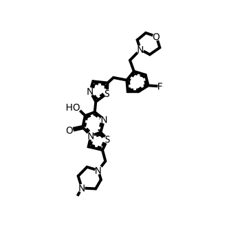 CN1CCN(Cc2cn3c(=O)c(O)c(-c4ncc(Cc5ccc(F)cc5CN5CCOCC5)s4)nc3s2)CC1